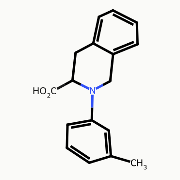 Cc1cccc(N2Cc3ccccc3CC2C(=O)O)c1